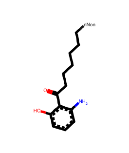 CCCCCCCCCCCCCCCC(=O)c1c(N)cccc1O